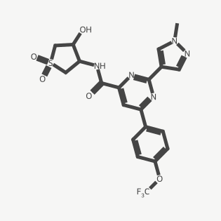 Cn1cc(-c2nc(C(=O)NC3CS(=O)(=O)CC3O)cc(-c3ccc(OC(F)(F)F)cc3)n2)cn1